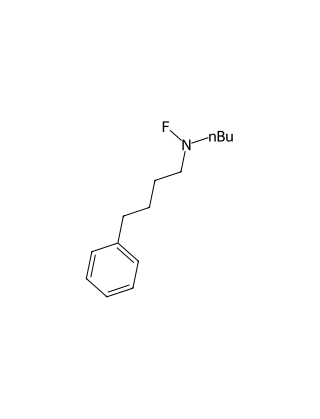 CCCCN(F)CCCCc1ccccc1